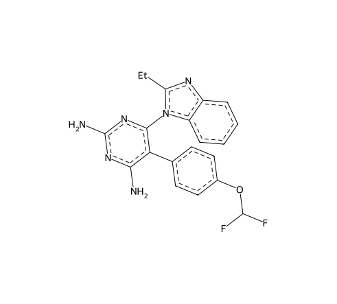 CCc1nc2ccccc2n1-c1nc(N)nc(N)c1-c1ccc(OC(F)F)cc1